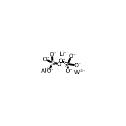 [Al+3].[Li+].[O-][Si]([O-])([O-])[O-].[O-][Si]([O-])([O-])[O-].[W+4]